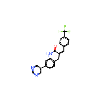 NC(=O)C(=Cc1ccc(C(F)(F)F)cc1)Cc1ccc(-c2cncnc2)cc1